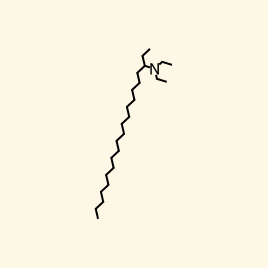 CCCCCCCCCCCCCCCCCCC(CC)N(CC)CC